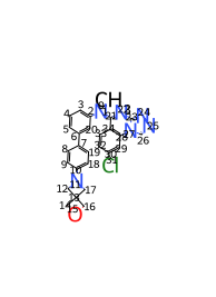 CN(c1cccc(-c2ccc(N3CC4(COC4)C3)cc2)c1)c1nc2nncn2c2cc(Cl)ccc12